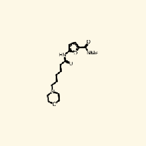 CNC(=O)c1ccc(NC(=O)CCCCCN2CCOCC2)o1